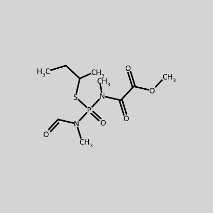 CCC(C)SP(=O)(N(C)C=O)N(C)C(=O)C(=O)OC